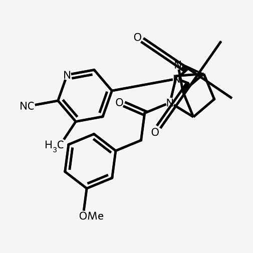 COc1cccc(CC(=O)N2C[C@]34CC2[C@@]32C(=O)N(c3cnc(C#N)c(C)c3)C(=O)N42)c1